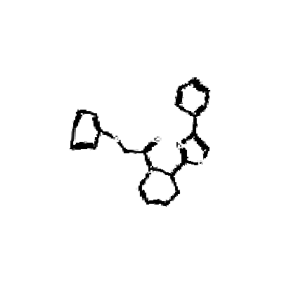 O=C(COc1ccccc1)N1CCCCC1c1nc(-c2ccccc2)cs1